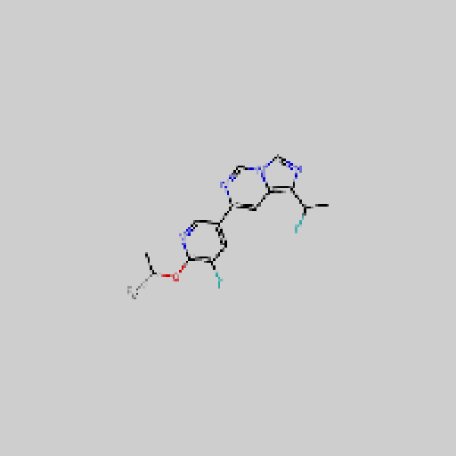 CC(F)c1ncn2cnc(-c3cnc(O[C@@H](C)C(F)(F)F)c(F)c3)cc12